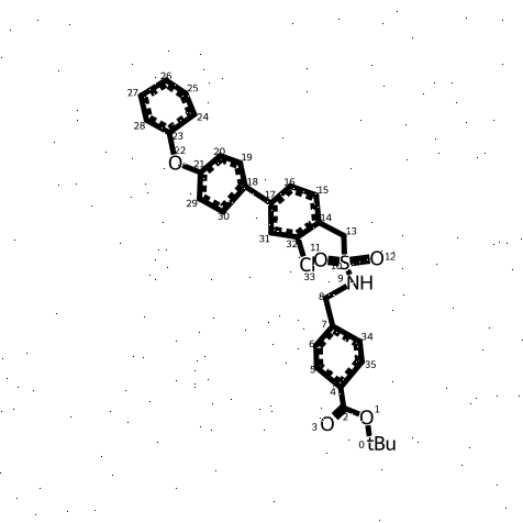 CC(C)(C)OC(=O)c1ccc(CNS(=O)(=O)Cc2ccc(-c3ccc(Oc4ccccc4)cc3)cc2Cl)cc1